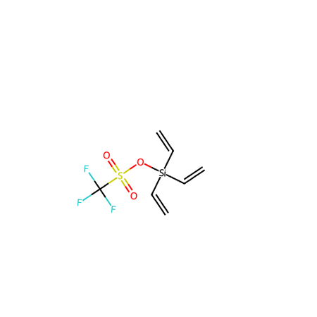 C=C[Si](C=C)(C=C)OS(=O)(=O)C(F)(F)F